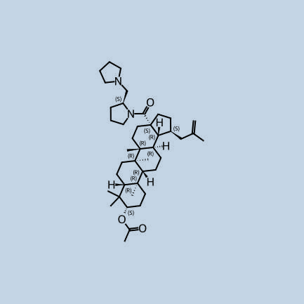 C=C(C)C[C@@H]1CC[C@]2(C(=O)N3CCC[C@H]3CN3CCCC3)CC[C@]3(C)[C@H](CC[C@@H]4[C@@]5(C)CC[C@H](OC(C)=O)C(C)(C)[C@@H]5CC[C@]43C)[C@@H]12